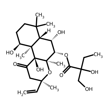 C=C[C@@]1(C)CC(=O)[C@]2(O)[C@@]3(C)[C@@H](O)CCC(C)(C)[C@@H]3[C@H](O)[C@H](OC(=O)C(O)(CC)CO)[C@@]2(C)O1